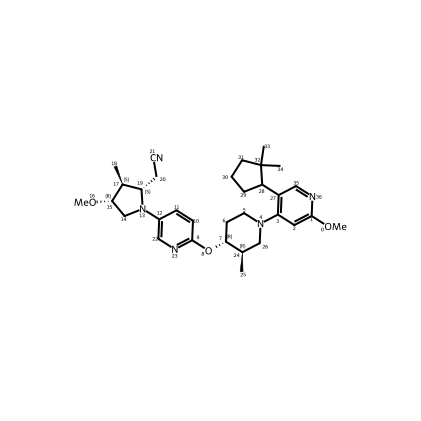 COc1cc(N2CC[C@@H](Oc3ccc(N4C[C@H](OC)[C@@H](C)[C@@H]4CC#N)cn3)[C@H](C)C2)c(C2CCCC2(C)C)cn1